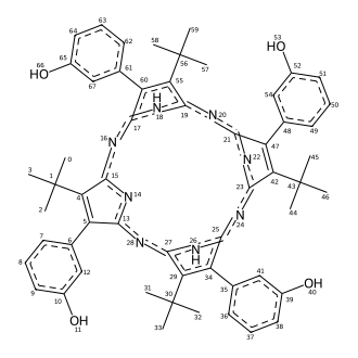 CC(C)(C)C1=C(c2cccc(O)c2)c2nc1nc1[nH]c(nc3nc(nc4[nH]c(n2)c(C(C)(C)C)c4-c2cccc(O)c2)C(C(C)(C)C)=C3c2cccc(O)c2)c(C(C)(C)C)c1-c1cccc(O)c1